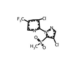 CS(=O)(=O)c1c(Cl)cnn1-c1ncc(C(F)(F)F)cc1Cl